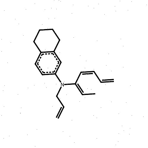 C=C/C=C\C(=C/C)N(CC=C)c1ccc2c(c1)CCCC2